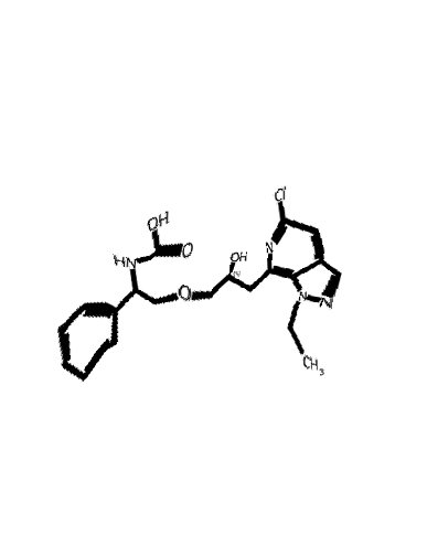 CCn1ncc2cc(Cl)nc(C[C@H](O)COCC(NC(=O)O)c3ccccc3)c21